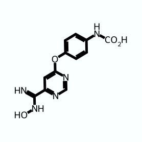 N=C(NO)c1cc(Oc2ccc(NC(=O)O)cc2)ncn1